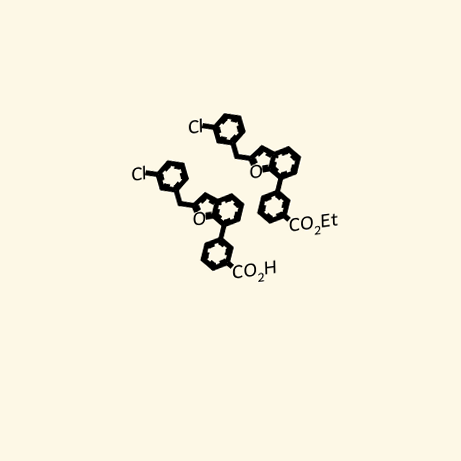 CCOC(=O)c1cccc(-c2cccc3cc(Cc4cccc(Cl)c4)oc23)c1.O=C(O)c1cccc(-c2cccc3cc(Cc4cccc(Cl)c4)oc23)c1